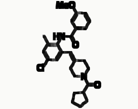 COc1cccc(C(=O)Nc2c(C)cc(Cl)cc2C=C2CCN(C(=O)C3CCCC3)CC2)c1